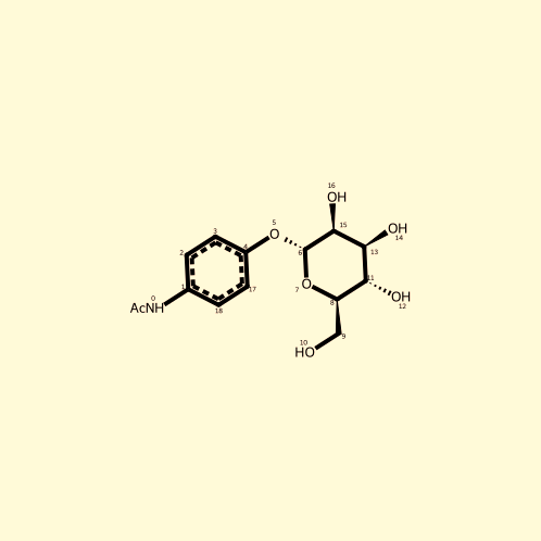 CC(=O)Nc1ccc(O[C@H]2O[C@H](CO)[C@@H](O)[C@H](O)[C@@H]2O)cc1